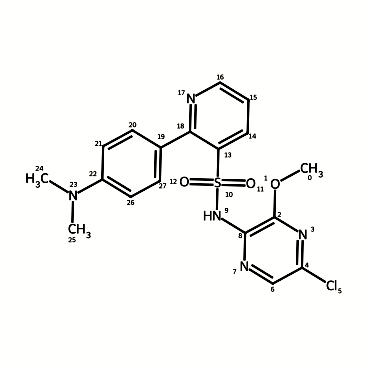 COc1nc(Cl)cnc1NS(=O)(=O)c1cccnc1-c1ccc(N(C)C)cc1